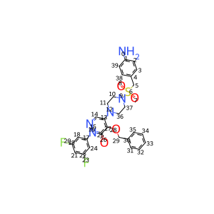 Nc1ccc(CS(=O)(=O)N2CCN(c3cnn(-c4cc(F)cc(F)c4)c(=O)c3OCc3ccccc3)CC2)cc1